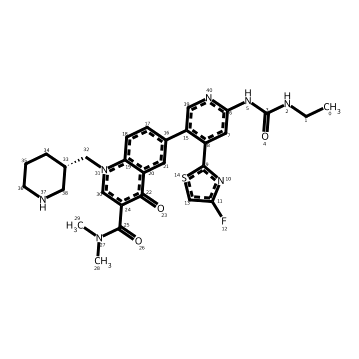 CCNC(=O)Nc1cc(-c2nc(F)cs2)c(-c2ccc3c(c2)c(=O)c(C(=O)N(C)C)cn3C[C@H]2CCCNC2)cn1